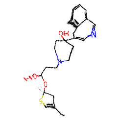 CC1=CS[C@@](C)(OC(O)CCN2CCC(O)(c3cncc4ccccc34)CC2)C1